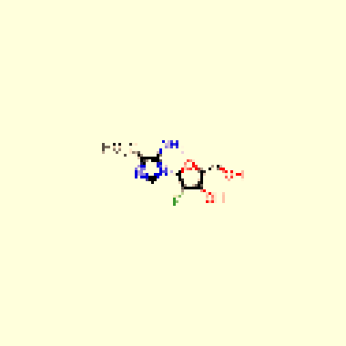 Nc1c(C(=O)O)ncn1[C@@H]1O[C@H](CO)[C@@H](O)[C@@H]1F